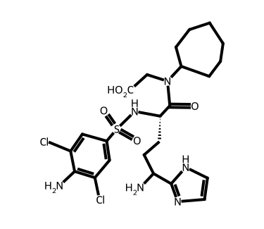 Nc1c(Cl)cc(S(=O)(=O)N[C@@H](CCC(N)c2ncc[nH]2)C(=O)N(CC(=O)O)C2CCCCCC2)cc1Cl